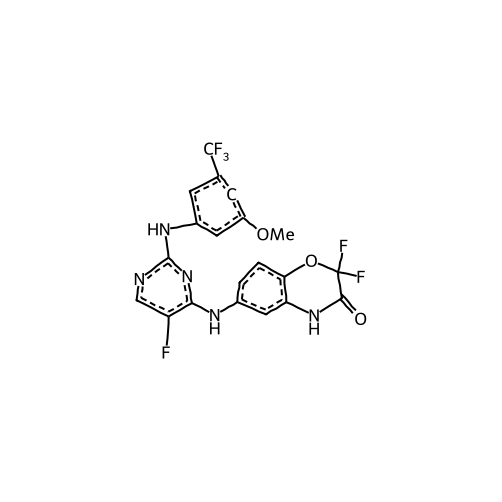 COc1cc(Nc2ncc(F)c(Nc3ccc4c(c3)NC(=O)C(F)(F)O4)n2)cc(C(F)(F)F)c1